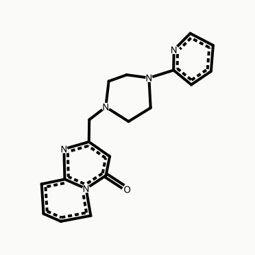 O=c1cc(CN2CCN(c3ccccn3)CC2)nc2ccccn12